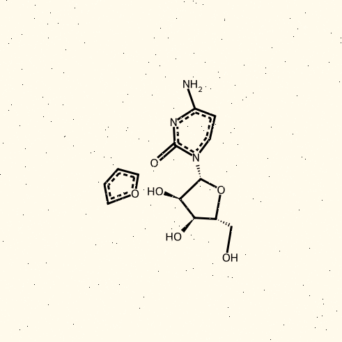 Nc1ccn([C@@H]2O[C@H](CO)[C@@H](O)[C@H]2O)c(=O)n1.c1ccoc1